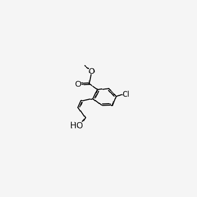 COC(=O)c1cc(Cl)ccc1/C=C\CO